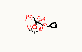 COC(OCc1ccccc1)[C@H](O)[C@H](O)CO